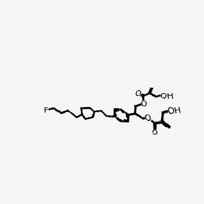 C=C(CO)C(=O)OCC(COC(=O)C(=C)CO)c1ccc(CCC2CCC(CCCCF)CC2)cc1